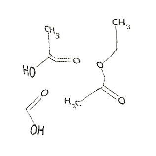 CC(=O)O.CCOC(C)=O.O=CO